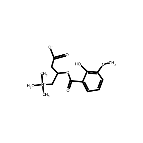 COc1cccc(C(=O)OC(CC(=O)[O-])C[N+](C)(C)C)c1O